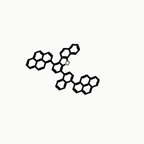 c1ccc2c(c1)ccc1c2oc2c(-c3ccc(-c4ccc5ccc6cccc7ccc4c5c67)c4ccccc34)ccc(-c3ccc4ccc5cccc6ccc3c4c56)c21